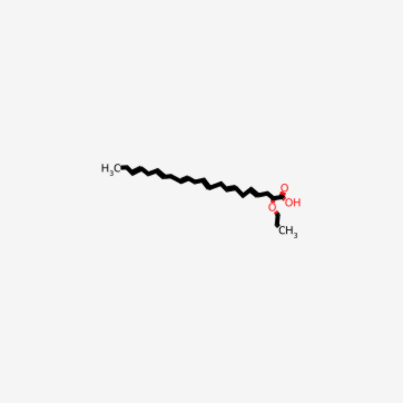 CCC=CCC=CCC=CCC=CCC=CCC=CCC(OCCC)C(=O)O